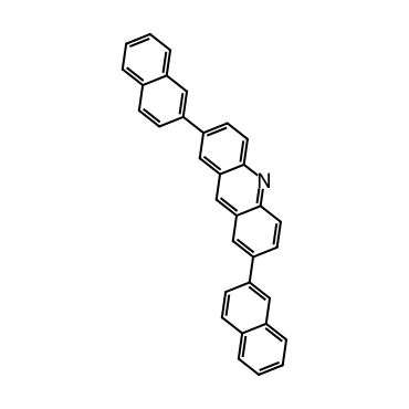 c1ccc2cc(-c3ccc4nc5ccc(-c6ccc7ccccc7c6)cc5cc4c3)ccc2c1